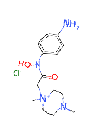 CN1CC[N+](C)(CC(=O)N(O)c2ccc(N)cc2)CC1.[Cl-]